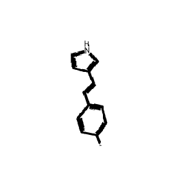 Fc1ccc(C=Cc2cc[nH]c2)cc1